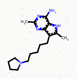 Cc1nc(N)c2[nH]c(C)c(CCCCCN3CCCC3)c2n1